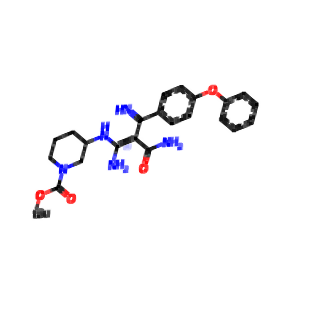 CC(C)(C)OC(=O)N1CCCC(N/C(N)=C(\C(=N)c2ccc(Oc3ccccc3)cc2)C(N)=O)C1